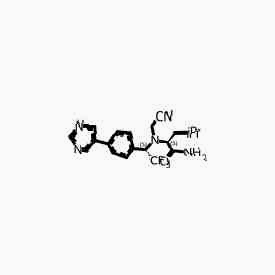 CC(C)C[C@@H](C(N)=O)N(CC#N)[C@@H](c1ccc(-c2cncnc2)cc1)C(F)(F)F